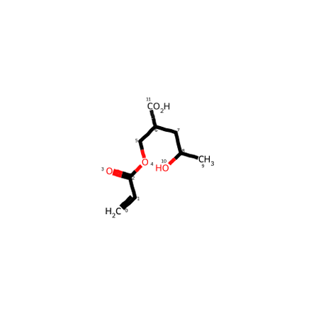 C=CC(=O)OCC(CC(C)O)C(=O)O